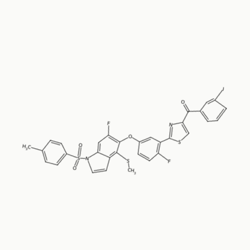 CSc1c(Oc2ccc(F)c(-c3nc(C(=O)c4cccc(I)c4)cs3)c2)c(F)cc2c1ccn2S(=O)(=O)c1ccc(C)cc1